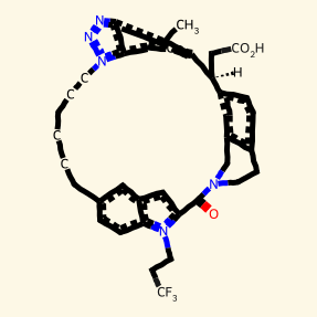 Cc1c2ccc3c1nnn3CCCCCCc1ccc3c(c1)cc(n3CCC(F)(F)F)C(=O)N1CCc3ccc(cc3C1)[C@@H]2CC(=O)O